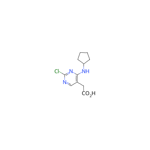 O=C(O)Cc1cnc(Cl)nc1NC1CCCC1